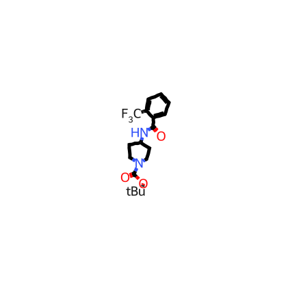 CC(C)(C)OC(=O)N1CCC(NC(=O)c2ccccc2C(F)(F)F)CC1